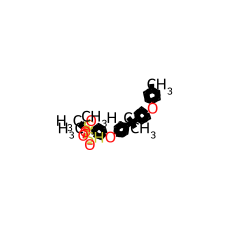 Cc1ccc(Oc2ccc(C(C)(C)c3ccc(Oc4ccc(S(=O)(=O)C(C)(C)C)c([SH](=O)=O)c4)cc3)cc2)cc1